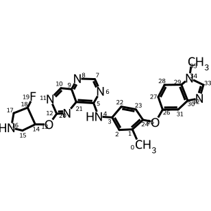 Cc1cc(Nc2ncnc3cnc(OC4CNCC4F)nc23)ccc1Oc1ccc2c(c1)ncn2C